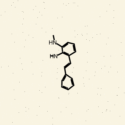 CNc1cccc(C=Cc2ccccc2)c1NC